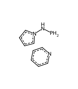 PNn1cccc1.c1ccncc1